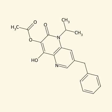 CC(=O)Oc1c(O)c2ncc(Cc3ccccc3)cc2n(C(C)C)c1=O